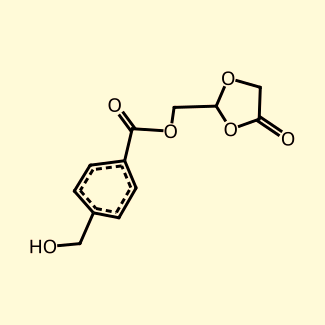 O=C1COC(COC(=O)c2ccc(CO)cc2)O1